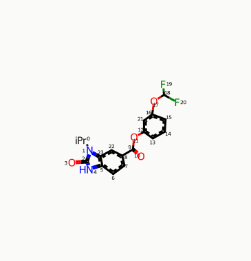 CC(C)n1c(=O)[nH]c2ccc(C(=O)Oc3cccc(OC(F)F)c3)cc21